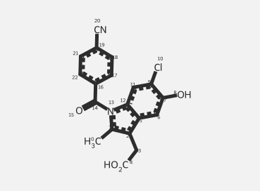 Cc1c(CC(=O)O)c2cc(O)c(Cl)cc2n1C(=O)c1ccc(C#N)cc1